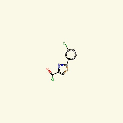 O=C(Cl)c1csc(-c2cccc(Cl)c2)n1